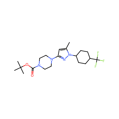 Cc1cc(N2CCN(C(=O)OC(C)(C)C)CC2)nn1C1CCC(C(F)(F)F)CC1